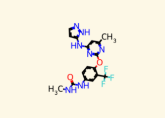 CNC(=O)Nc1ccc(Oc2nc(C)cc(Nc3ccn[nH]3)n2)c(C(F)(F)F)c1